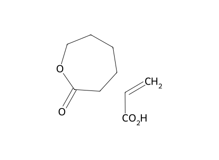 C=CC(=O)O.O=C1CCCCCO1